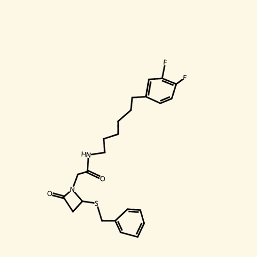 O=C(CN1C(=O)CC1SCc1ccccc1)NCCCCCCc1ccc(F)c(F)c1